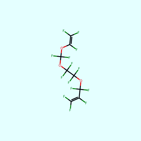 FC(F)=C(F)OC(F)(F)OC(F)(F)C(F)(F)OC(F)(F)C(F)=C(F)F